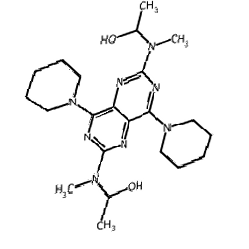 CC(O)N(C)c1nc(N2CCCCC2)c2nc(N(C)C(C)O)nc(N3CCCCC3)c2n1